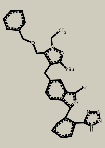 CCCCc1nn(CC(F)(F)F)c(COCc2ccccc2)c1Cc1ccc2c(-c3ccccc3-c3nnn[nH]3)oc(Br)c2c1